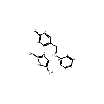 CCCCc1cnc(CC)[nH]1.Cc1ccc(CBc2ccccc2)cc1